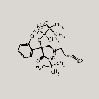 CC(C)(C)OC(=O)[C@@](CNCCC=O)(O[Si](C)(C)C(C)(C)C)c1ccccc1Cl